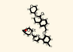 CCOC(=O)[C@@]12CCN(c3nc(-c4cc(C)ccc4OCc4ccc5c(c4)CCN(C4CCOCC4)C5=O)cs3)CC1C2